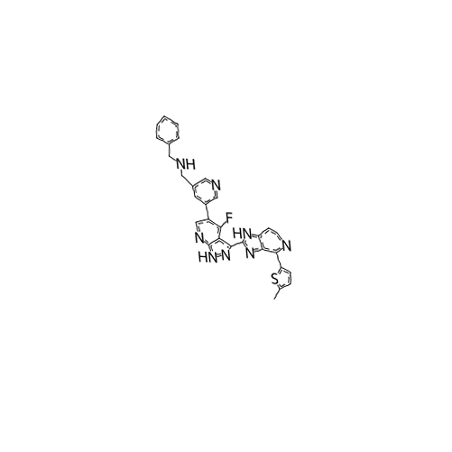 Cc1ccc(-c2nccc3[nH]c(-c4n[nH]c5ncc(-c6cncc(CNCc7ccccc7)c6)c(F)c45)nc23)s1